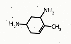 CC1=CCC(N)CC1N